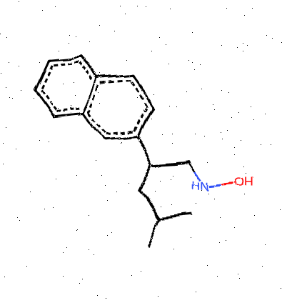 CC(C)CC(CNO)c1ccc2ccccc2c1